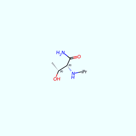 CC(C)N[C@@H](C(N)=O)[C@@H](C)O